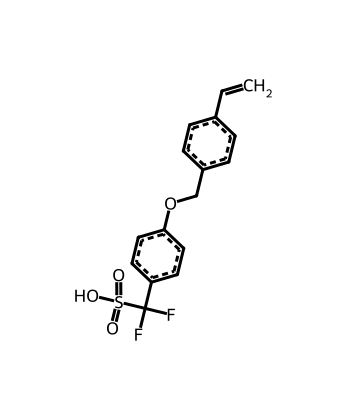 C=Cc1ccc(COc2ccc(C(F)(F)S(=O)(=O)O)cc2)cc1